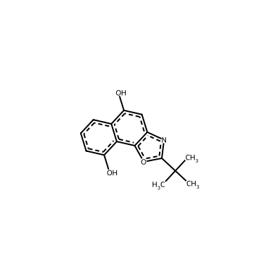 CC(C)(C)c1nc2cc(O)c3cccc(O)c3c2o1